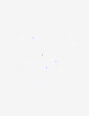 COC(=O)CCCCNC(=O)[C@H](Cc1cn(C)c2ccccc12)NC(=O)[C@H](CCCCNC(=O)OC(C)(C)C)NC(=O)OCc1ccccc1